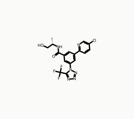 C[C@@H](CO)NC(=O)c1cc(-c2ccc(Cl)cn2)cc(-n2nnnc2C(F)(F)F)c1